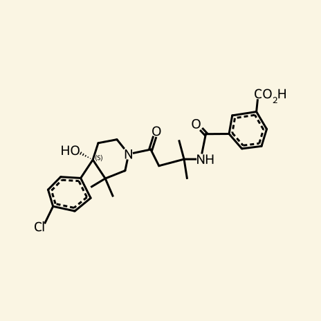 CC(C)(CC(=O)N1CC[C@](O)(c2ccc(Cl)cc2)C(C)(C)C1)NC(=O)c1cccc(C(=O)O)c1